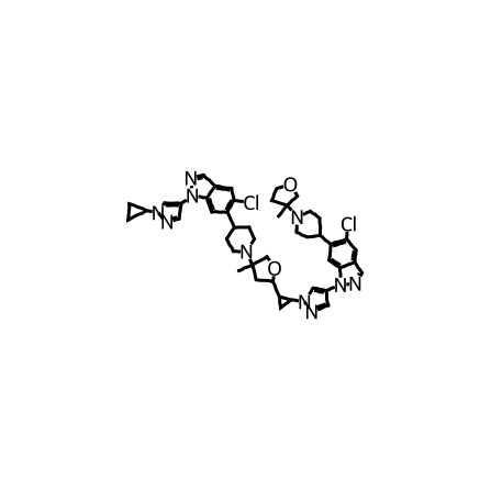 CC1(N2CCC(c3cc4c(cnn4-c4cnn(C5CC5C5CC(C)(N6CCC(c7cc8c(cnn8-c8cnn(C9CC9)c8)cc7Cl)CC6)CO5)c4)cc3Cl)CC2)CCOC1